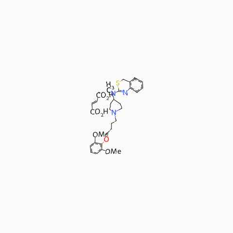 COc1cccc(OC)c1OCCCCN1CCC(N(C)C2=Nc3ccccc3CS2)CC1.O=C(O)C=CC(=O)O